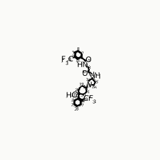 O=C(CNC(=O)c1cccc(C(F)(F)F)c1)NC1CCN(C2CCC(O)(c3ccccc3C(F)(F)F)CC2)C1